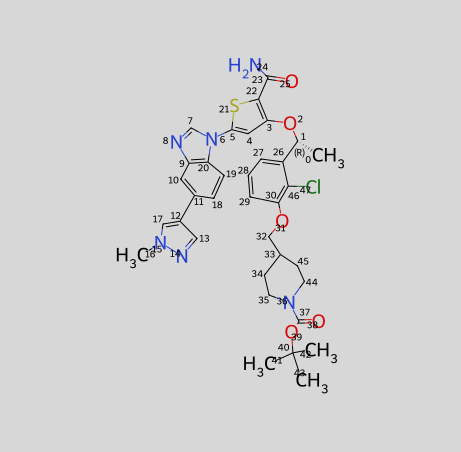 C[C@@H](Oc1cc(-n2cnc3cc(-c4cnn(C)c4)ccc32)sc1C(N)=O)c1cccc(OCC2CCN(C(=O)OC(C)(C)C)CC2)c1Cl